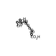 C#Cc1ccccc1CN(C(=O)CCNC(=O)OCCOCCOCCOC(=O)Oc1ccc(C(=O)O)cc1)c1ccccc1C